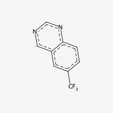 FC(F)(F)c1ccc2ncn[c]c2c1